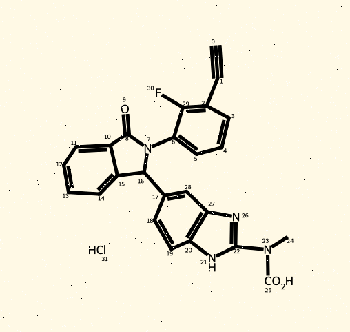 C#Cc1cccc(N2C(=O)c3ccccc3C2c2ccc3[nH]c(N(C)C(=O)O)nc3c2)c1F.Cl